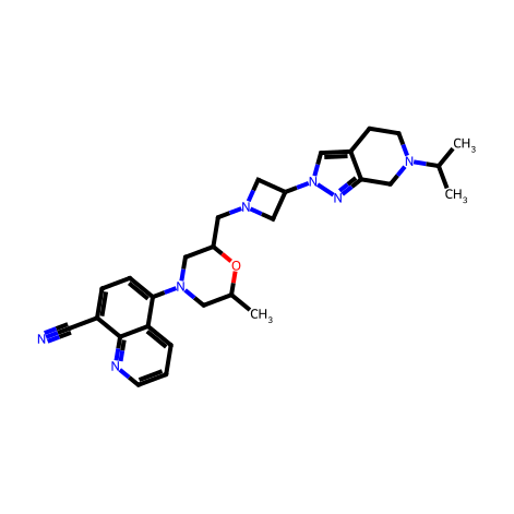 CC1CN(c2ccc(C#N)c3ncccc23)CC(CN2CC(n3cc4c(n3)CN(C(C)C)CC4)C2)O1